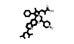 CC(C)=CC(=C(C)C)c1ccc2cc(-c3c(C4CCCCC4)c(C)c(/C=C(\C)C(=O)O)n3CC(=O)C3CC[S+]([O-])CC3)ccc2n1